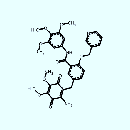 COC1=C(OC)C(=O)C(Cc2ccc(OCc3cccnc3)c(C(=O)Nc3cc(OC)c(OC)c(OC)c3)c2)=C(C)C1=O